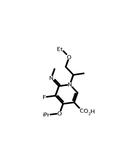 CCOCC(C)n1cc(C(=O)O)c(OC(C)C)c(F)/c1=N/C